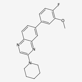 COc1cc(-c2ccc3ncc(N4CCCCC4)nc3c2)ccc1F